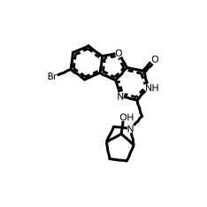 O=c1[nH]c(CN2CC3CCC2C3O)nc2c1oc1ccc(Br)cc12